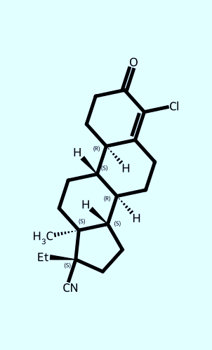 CC[C@]1(C#N)CC[C@H]2[C@@H]3CCC4=C(Cl)C(=O)CC[C@@H]4[C@H]3CC[C@@]21C